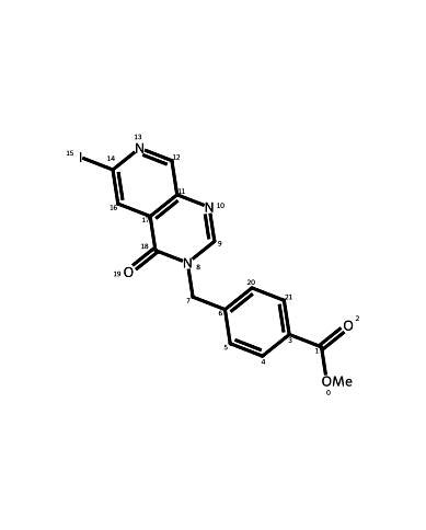 COC(=O)c1ccc(Cn2cnc3cnc(I)cc3c2=O)cc1